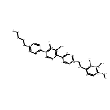 CCCCCc1ccc(-c2ccc(-c3ccc(COc4ccc(OC)c(F)c4F)cc3)c(F)c2F)cc1